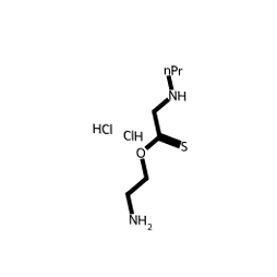 CCCNCC(=S)OCCN.Cl.Cl